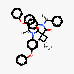 CC[C@@H](c1ccccc1)N(C(=O)C1(C(=O)N(c2ccc(Oc3ccccc3)cc2)[C@@H](CC)c2ccccc2)C[C@H](C(=O)O)[C@H]1C(=O)O)c1ccc(Oc2ccccc2)cc1